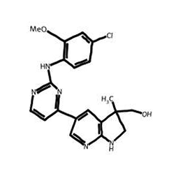 COc1cc(Cl)ccc1Nc1nccc(-c2cnc3c(c2)C(C)(CO)CN3)n1